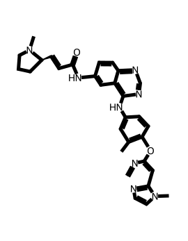 C=N/C(=C\c1nccn1C)Oc1ccc(Nc2ncnc3ccc(NC(=O)/C=C/[C@H]4CCCN4C)cc23)cc1C